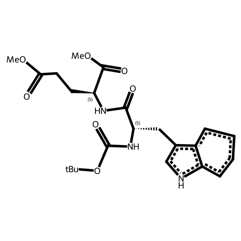 COC(=O)CC[C@H](NC(=O)[C@H](Cc1c[nH]c2ccccc12)NC(=O)OC(C)(C)C)C(=O)OC